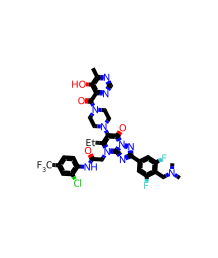 CCc1c(N2CCN(C(=O)c3ncnc(C)c3O)CC2)c(=O)n2nc(-c3cc(F)c(CN(C)C)c(F)c3)nc2n1CC(=O)Nc1ccc(C(F)(F)F)cc1Cl